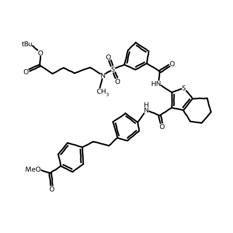 COC(=O)c1ccc(CCc2ccc(NC(=O)c3c(NC(=O)c4cccc(S(=O)(=O)N(C)CCCCC(=O)OC(C)(C)C)c4)sc4c3CCCC4)cc2)cc1